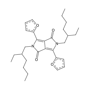 CCCCC(CC)CN1C(=O)C2=C(c3ccco3)N(CC(CC)CCCC)C(=O)C2=C1c1ccco1